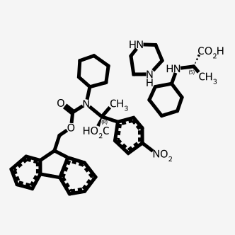 C1CNCCN1.C[C@H](NC1CCCCC1)C(=O)O.C[C@](C(=O)O)(c1ccc([N+](=O)[O-])cc1)N(C(=O)OCC1c2ccccc2-c2ccccc21)C1CCCCC1